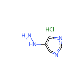 Cl.NNc1cncnc1